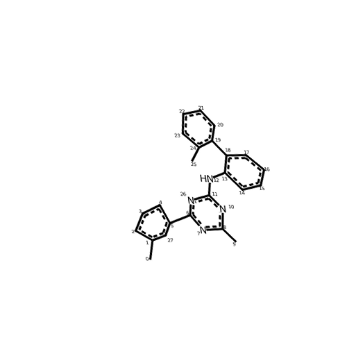 Cc1cccc(-c2nc(C)nc(Nc3ccccc3-c3ccccc3C)n2)c1